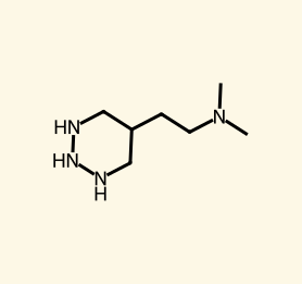 CN(C)CCC1CNNNC1